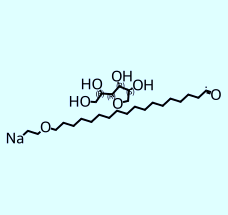 O=[C]CCCCCCCCCCCCCCCCCOC[CH2][Na].OC[C@@H](O)[C@H]1OC[C@H](O)[C@H]1O